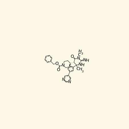 CN1C(=N)N[C@](C)(c2cc(-c3cncnc3)cs2)[C@H](C2CCN(C(=O)OCc3ccccc3)CC2)C1=O